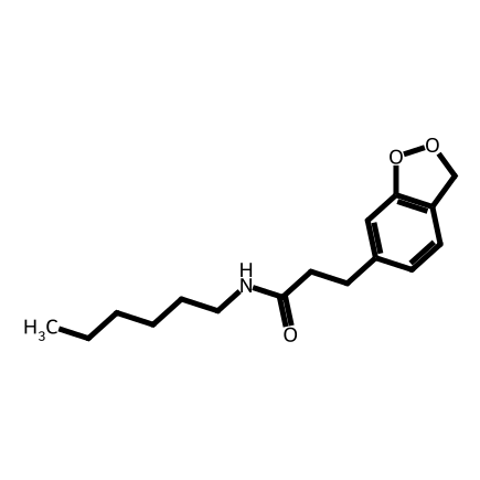 CCCCCCNC(=O)CCc1ccc2c(c1)OOC2